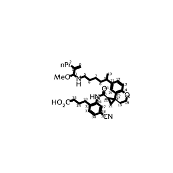 C=C(CCC)C(NCCCCC(C)c1ccc2c(c1)[C@]1(CCO2)C[C@H]1C(=O)Nc1cc(C#N)ccc1CCCC(=O)O)OC